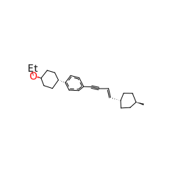 CCO[C@H]1CC[C@H](c2ccc(C#CC=C[C@H]3CC[C@H](C)CC3)cc2)CC1